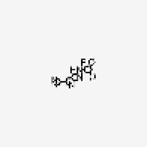 COc1cc(Nc2cc3cc(-c4cnn(C)c4)cnc3cn2)c(F)c(OC)c1